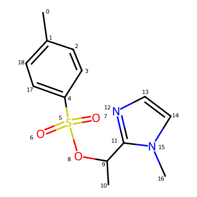 Cc1ccc(S(=O)(=O)OC(C)c2nccn2C)cc1